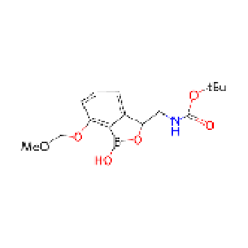 COCOc1cccc2c1B(O)OC2CNC(=O)OC(C)(C)C